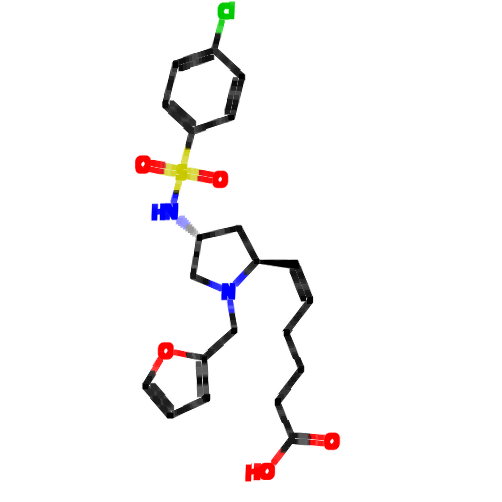 O=C(O)CCC/C=C\[C@@H]1C[C@@H](NS(=O)(=O)c2ccc(Cl)cc2)CN1Cc1ccco1